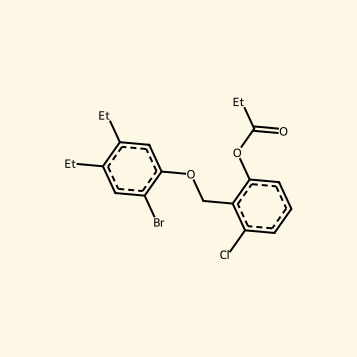 CCC(=O)Oc1cccc(Cl)c1COc1cc(CC)c(CC)cc1Br